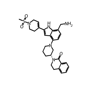 CS(=O)(=O)N1CC=C(c2cc3c(N4CCC[C@@H](N5CCc6ccccc6C5=O)C4)ccc(CN)c3[nH]2)CC1